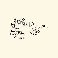 COC(=O)c1ccc(C(=O)NCCCNC(=O)c2ccc(Nc3ncc4c(n3)-c3ccc(Cl)cc3C(c3c(F)cccc3OC)=NC4)cc2OC)cc1C#CCN.Cl